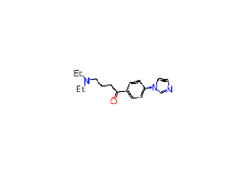 CCN(CC)CCCC(=O)c1ccc(-n2ccnc2)cc1